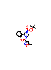 Cc1cc(C(=O)N2CCN(C(=O)OC(C)(C)C)CC2c2ccccc2)no1